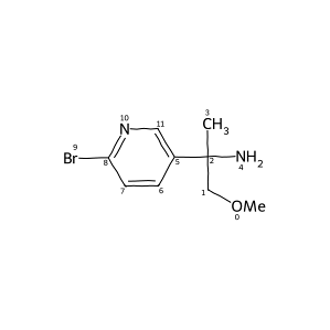 COCC(C)(N)c1ccc(Br)nc1